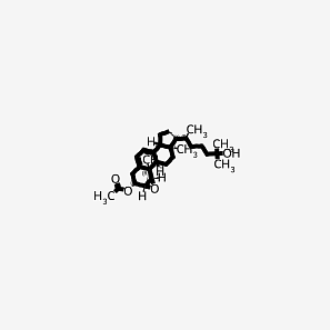 CC(=O)O[C@@H]1CC2=CC=C3[C@@H]4CC[C@H]([C@H](C)CCCC(C)(C)O)[C@@]4(C)CC[C@@H]3[C@@]2(C)[C@H]2O[C@@H]12